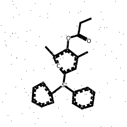 CCC(=O)Oc1c(C)cc([S+](c2ccccc2)c2ccccc2)cc1C